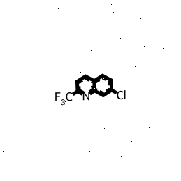 FC(F)(F)c1ccc2ccc(Cl)cc2n1